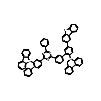 c1ccc(-c2nc(-c3cccc(-c4cc(-c5ccc6oc7ccccc7c6c5)ccc4N4Cc5ccccc5-c5ccccc54)c3)nc(-c3ccc(-c4ccccc4)c(-n4c5ccccc5c5ccccc54)c3)n2)cc1